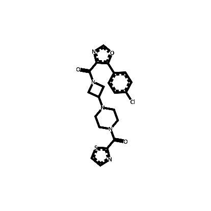 O=C(c1nccs1)N1CCN(C2CN(C(=O)c3ncoc3-c3ccc(Cl)cc3)C2)CC1